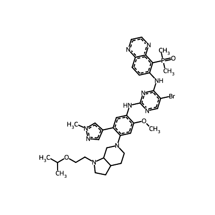 COc1cc(N2CCC3CCN(CCOC(C)C)C3C2)c(-c2cnn(C)c2)cc1Nc1ncc(Br)c(Nc2ccc3nccnc3c2P(C)(C)=O)n1